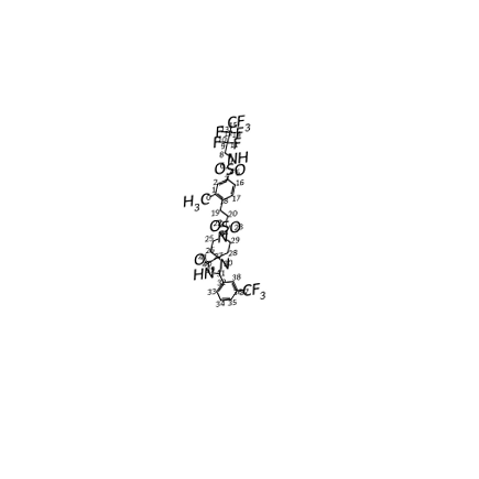 Cc1cc(S(=O)(=O)NCC(F)(F)C(F)(F)C(F)(F)F)ccc1CCS(=O)(=O)N1CCC2(CC1)N=C(c1cccc(C(F)(F)F)c1)NC2=O